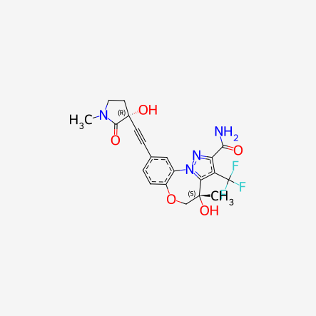 CN1CC[C@@](O)(C#Cc2ccc3c(c2)-n2nc(C(N)=O)c(C(F)(F)F)c2[C@](C)(O)CO3)C1=O